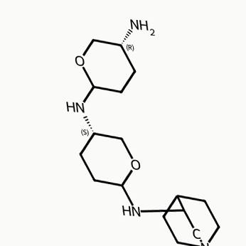 N[C@@H]1CCC(N[C@H]2CCC(NC3CN4CCC3CC4)OC2)OC1